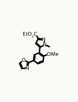 CCOC(=O)c1cc(-c2cc(-c3ncco3)ccc2OC)n(C)n1